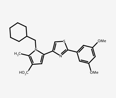 COc1cc(OC)cc(-c2nc(-c3cc(C(=O)O)c(C)n3CC3CCCCC3)cs2)c1